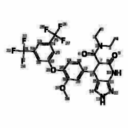 CCN(CC)C(=O)C1C(=O)Nc2n[nH]cc2C1c1ccc(Oc2cc(C(F)(F)F)cc(C(F)(F)F)c2)c(OC)c1